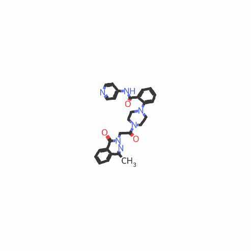 Cc1nn(CC(=O)N2CCN(c3ccccc3C(=O)Nc3ccncc3)CC2)c(=O)c2ccccc12